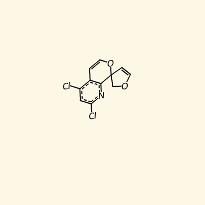 Clc1cc(Cl)c2c(n1)C1(C=COC1)OC=C2